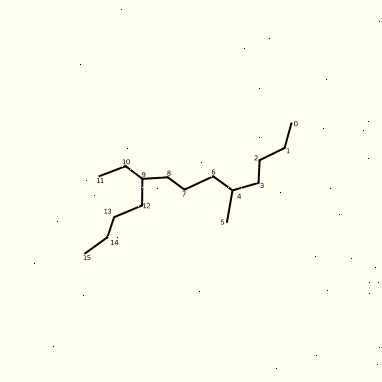 CCCCC(C)CCCC(CC)CCCC